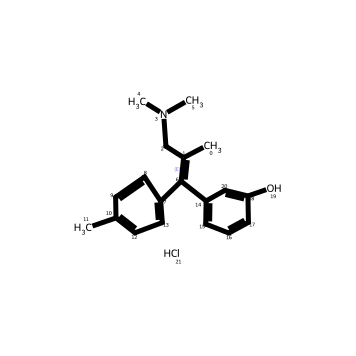 C/C(CN(C)C)=C(/c1ccc(C)cc1)c1cccc(O)c1.Cl